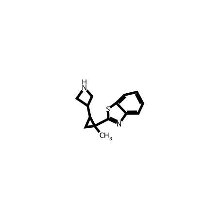 CC1(c2nc3ccccc3s2)C[C]1C1CNC1